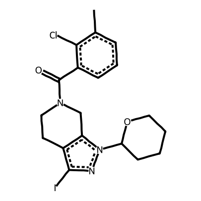 Cc1cccc(C(=O)N2CCc3c(I)nn(C4CCCCO4)c3C2)c1Cl